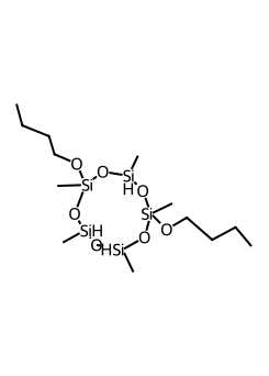 CCCCO[Si]1(C)O[SiH](C)O[SiH](C)O[Si](C)(OCCCC)O[SiH](C)O1